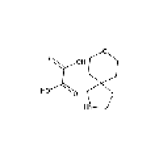 C1CC2(CCOCC2)CN1.O=C(O)C(=O)O